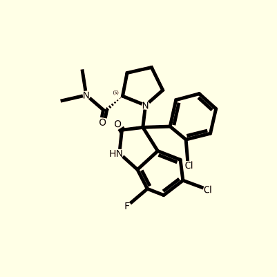 CN(C)C(=O)[C@@H]1CCCN1C1(c2ccccc2Cl)C(=O)Nc2c(F)cc(Cl)cc21